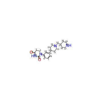 O=C1CCN(c2cccc(C3CCN(CC4CCNCC4)CC3)c2)C(=O)N1